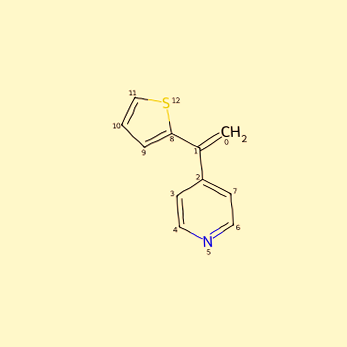 C=C(c1ccncc1)c1cccs1